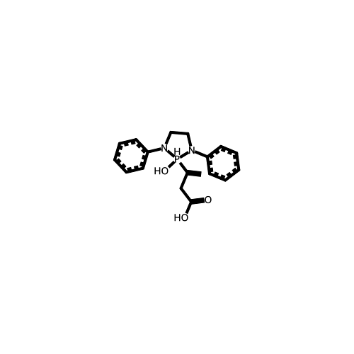 C=C(CC(=O)O)[PH]1(O)N(c2ccccc2)CCN1c1ccccc1